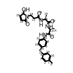 Cc1ccc(Sc2ccc(NC(=O)[C@H](C)NC(=O)[C@H](C)NC(=O)CCN3C(=O)C=CC3O)cc2)cc1